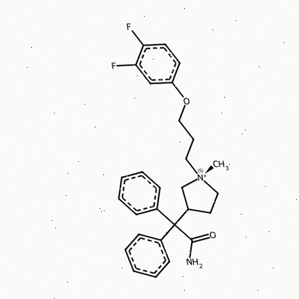 C[N@@+]1(CCCOc2ccc(F)c(F)c2)CCC(C(C(N)=O)(c2ccccc2)c2ccccc2)C1